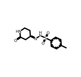 Cc1ccc(S(=O)(=O)NN=C2CCNC(=O)C2)cc1